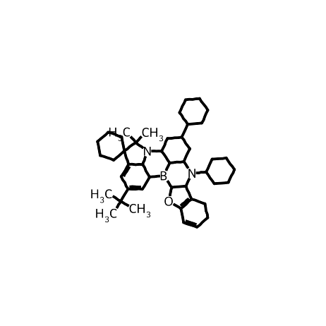 CC(C)(C)C1=CC2B3C4OC5=C(CCC=C5)C4N(C4CCCCC4)C4CC(C5CCCCC5)CC(C34)N3C2C(=C1)C1(CCCCC1)C3(C)C